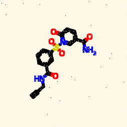 C#CCNC(=O)c1cccc(S(=O)(=O)n2cc(C(N)=O)ccc2=O)c1